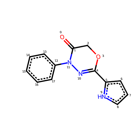 O=C1COC(c2ccc[nH]2)=NN1c1ccccc1